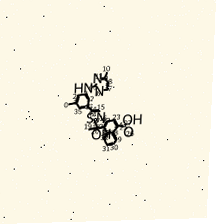 Cc1cc(Nc2nccc(C)n2)cc(-c2cnc(C(C)(O)c3ccc(C(=O)O)c4ccccc34)s2)c1